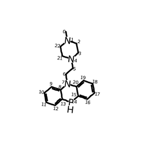 CN1CCN(CCN2c3ccccc3Pc3ccccc32)CC1